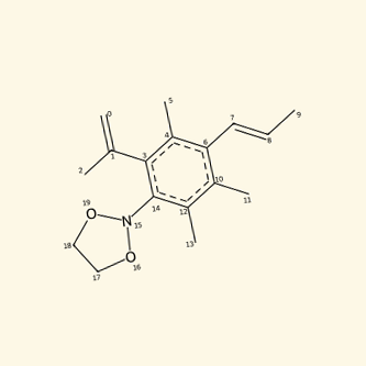 C=C(C)c1c(C)c(/C=C/C)c(C)c(C)c1N1OCCO1